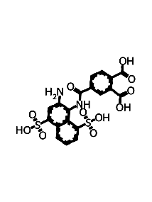 Nc1cc(S(=O)(=O)O)c2cccc(S(=O)(=O)O)c2c1NC(=O)c1ccc(C(=O)O)c(C(=O)O)c1